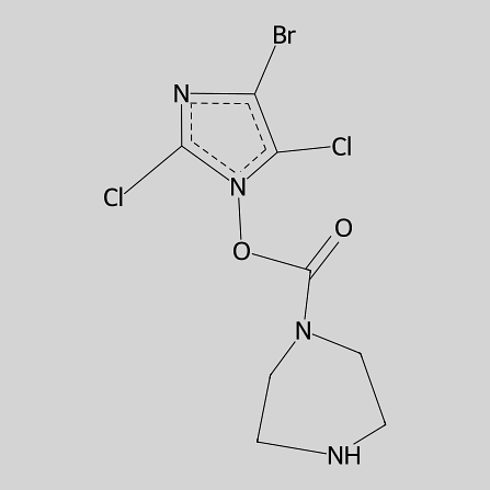 O=C(On1c(Cl)nc(Br)c1Cl)N1CCNCC1